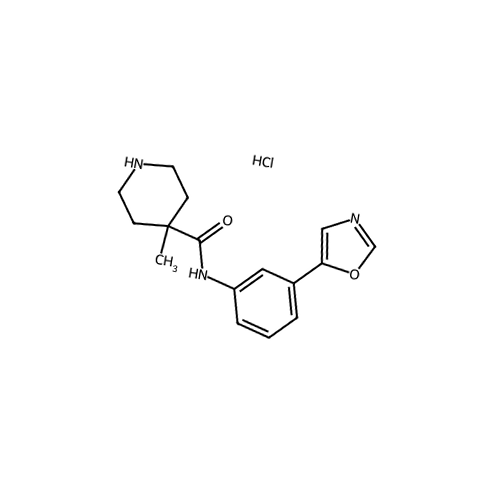 CC1(C(=O)Nc2cccc(-c3cnco3)c2)CCNCC1.Cl